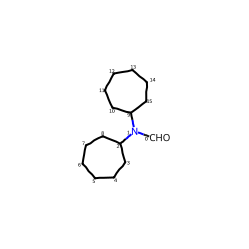 O=CN(C1CCCCCC1)C1CCCCCC1